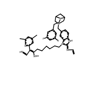 C=C/N=c1\[nH]c2ccc(CN3CC4CC(C3)N4CCc3cc(F)cc(F)c3)cc2n1CCCCCC/C(NC)=C(/C=N)c1cc(C)cc(C)n1